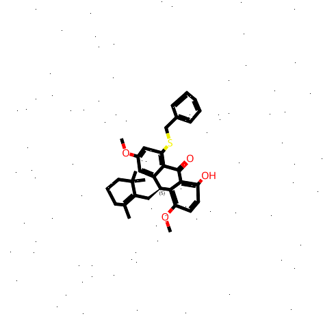 COc1cc(SCc2ccccc2)c2c(c1)[C@H](CC1=C(C)CCCC1(C)C)c1c(OC)ccc(O)c1C2=O